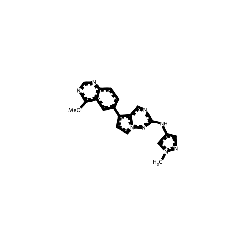 COc1ncnc2ccc(-c3ccn4nc(Nc5cnn(C)c5)ncc34)cc12